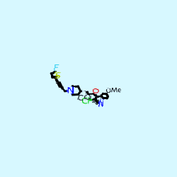 COc1ccc2ncc(Cl)c(C(=O)CC[C@H]3CCN(CC#Cc4ccc(F)s4)C[C@H]3C(=O)O)c2c1